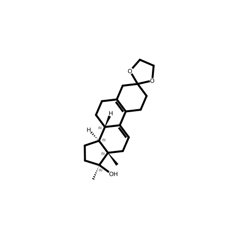 C[C@]1(O)CC[C@H]2[C@@H]3CCC4=C(CCC5(C4)OCCO5)C3=CC[C@@]21C